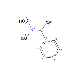 CC(C)(C)C(c1ccccc1)N(C(=O)O)C(C)(C)C